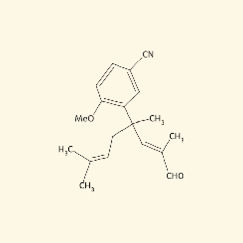 COc1ccc(C#N)cc1C(C)(/C=C(\C)C=O)CC=C(C)C